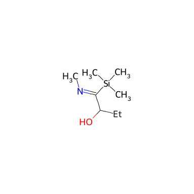 CCC(O)C(=NC)[Si](C)(C)C